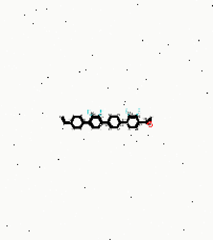 C=CC1CCC(C2=CCC(C3=CCC(C4CC=C(C5CO5)C(F)=C4F)CC3)C(F)=C2F)CC1